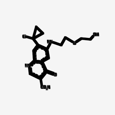 O=C(O)c1c[nH]c2cc(C3(Cl)CC3)c(NCCOCCO)cc2c1=O